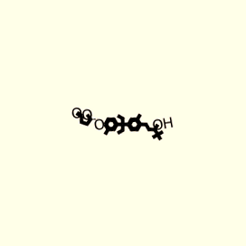 CCC(CC)(c1ccc(CCC(O)C(C)(C)C)c(C)c1)c1ccc(OC[C@@H]2CCC(=O)O2)c(C)c1